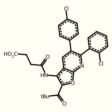 CC(C)(C)C(=O)c1oc2nc(-c3ccccc3Cl)c(-c3ccc(Cl)cc3)cc2c1NC(=O)CCC(=O)O